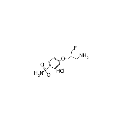 Cl.NCC(CF)COc1ccc(S(N)(=O)=O)cc1